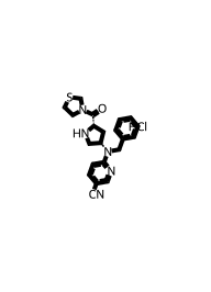 Cl.N#Cc1ccc(N(Cc2ccccc2)[C@@H]2CN[C@H](C(=O)N3CCSC3)C2)nc1